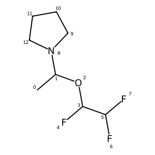 CC(OC(F)C(F)F)N1CCCC1